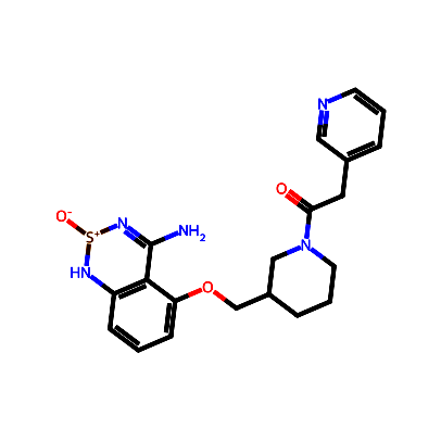 NC1=N[S+]([O-])Nc2cccc(OCC3CCCN(C(=O)Cc4cccnc4)C3)c21